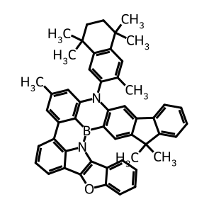 Cc1cc2c3c(c1)N(c1cc4c(cc1C)C(C)(C)CCC4(C)C)c1cc4c(cc1B3n1c3c-2cccc3c2oc3ccccc3c21)C(C)(C)c1ccccc1-4